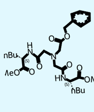 CCCC[C@H](NC(=O)CN(CC(=O)N[C@@H](CCCC)C(=O)OC)CC(=O)OCc1ccccc1)C(=O)OC